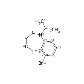 CC(C)N1CCOCc2c(Br)cccc21